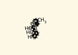 Cc1ccnc2c1ccn2C1OC(C(O)c2cccc3c2CNCC3)C(O)C1O